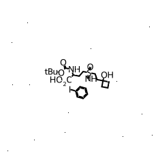 CC(C)(C)OC(=O)NC(CCS(=N)(=O)CCC1(O)CCC1)C(=O)O.Ic1ccccc1